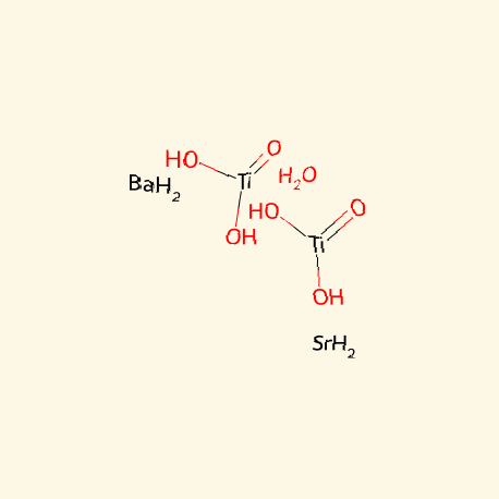 O.[BaH2].[O]=[Ti]([OH])[OH].[O]=[Ti]([OH])[OH].[SrH2]